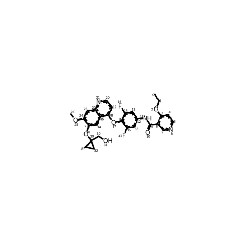 CCOc1ccncc1C(=O)Nc1cc(F)c(Oc2ccnc3cc(OC)c(OC4(CO)CC4)cc23)c(F)c1